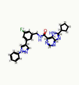 O=C(NCc1cc(F)cc(-c2cnn(-c3ccccc3)c2)c1)c1ncnc2nc(C3CCCC3)[nH]c12